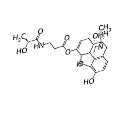 C[C@H](O)C(=O)NCCC(=O)OC1=CC[C@@]2(O)[C@H]3Cc4ccc(O)c5c4[C@@]2(CCN3C)[C@H]1O5